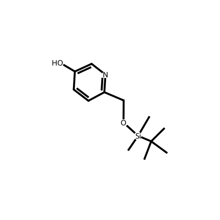 CC(C)(C)[Si](C)(C)OCc1ccc(O)cn1